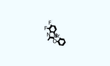 Cc1nc2c(F)c(F)ccc2nc1Oc1ccccc1Br